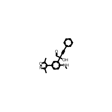 CNc1ccc(-c2c(C)noc2C)cc1C(O)(C#Cc1ccccc1)C=O